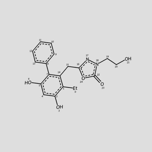 CCc1c(O)cc(O)c(-c2ccccc2)c1Cc1nn(CCO)c(=O)o1